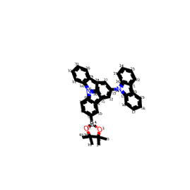 CC1(C)OB(c2ccc3c(c2)c2cc(-n4c5ccccc5c5ccccc54)cc4c5ccccc5n3c42)OC1(C)C